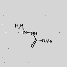 COC(=O)NNN